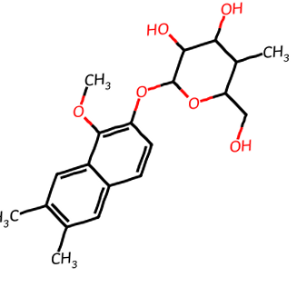 COc1c(OC2OC(CO)C(C)C(O)C2O)ccc2cc(C)c(C)cc12